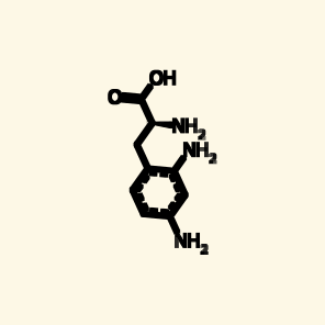 Nc1ccc(C[C@H](N)C(=O)O)c(N)c1